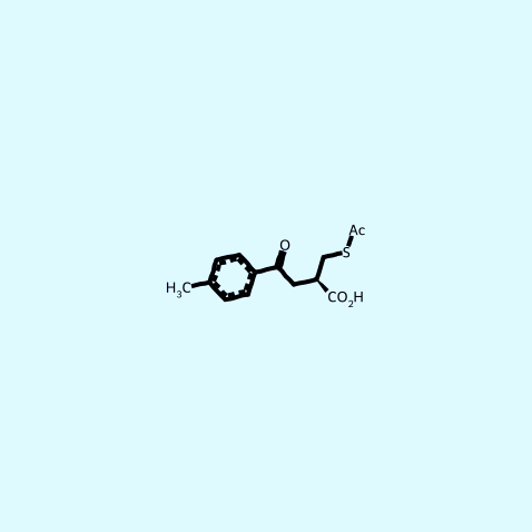 CC(=O)SC[C@H](CC(=O)c1ccc(C)cc1)C(=O)O